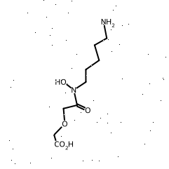 NCCCCCN(O)C(=O)COCC(=O)O